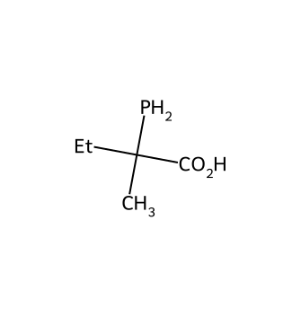 CCC(C)(P)C(=O)O